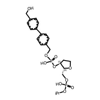 CC(C)OP(=O)(O)OC[C@H]1OCC[C@@H]1OP(=O)(O)OCc1ccc(-c2ccc(CO)cc2)cc1